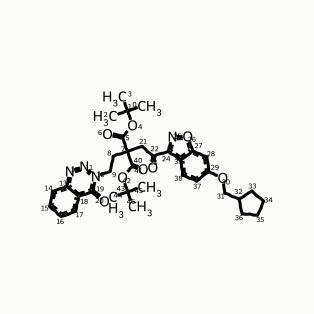 CC(C)(C)OC(=O)C(CCn1nnc2ccccc2c1=O)(CC(=O)c1noc2cc(OCC3CCCC3)ccc12)C(=O)OC(C)(C)C